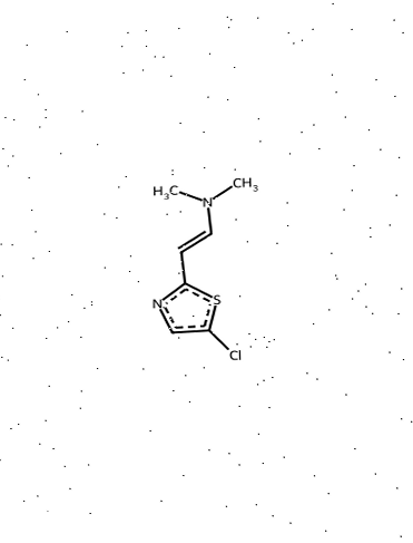 CN(C)C=Cc1ncc(Cl)s1